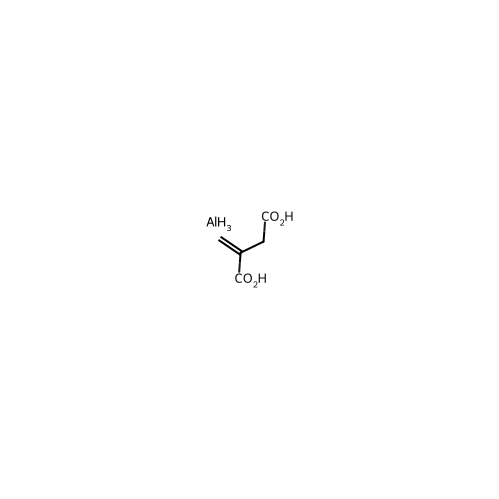 C=C(CC(=O)O)C(=O)O.[AlH3]